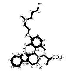 Cc1c(OCCN(C)CCCF)ccc(F)c1[C@@H]1c2[nH]c3ccccc3c2C[C@@H](C)N1CC(C)C(=O)O